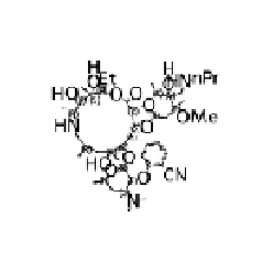 CCCNC[C@]1(O)[C@H](C)O[C@@H](O[C@H]2[C@H](C)[C@@H](O[C@@H]3O[C@H](C)C[C@H](N(C)C)[C@H]3Oc3ccccc3C#N)[C@](C)(O)C[C@@H](C)CN[C@H](C)[C@@H](O)[C@](C)(O)[C@@H](CC)OC(=O)[C@@H]2C)C[C@@]1(C)OC